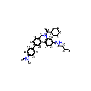 C=C(C1CCCCC1)N(Cc1ccc(-c2ccc(N(C)C)cc2)cc1)c1cccc(NCCCC)c1